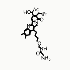 CC(=O)C(O)c1cc2n(c(=O)c1CC(C)C)Cc1c-2nc2cc(C)c(C)cc2c1CCCCOCNC(=O)CN